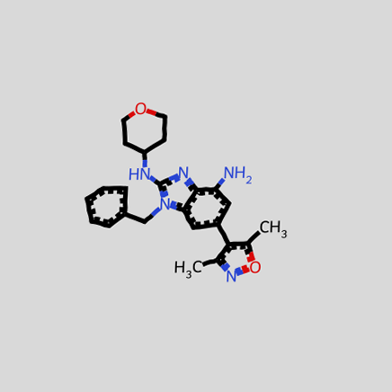 Cc1noc(C)c1-c1cc(N)c2nc(NC3CCOCC3)n(Cc3ccccc3)c2c1